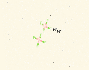 F[B-](F)(F)F.F[B-](F)(F)F.[H+].[H+]